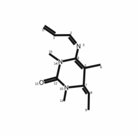 C=C/C=N\C1=C(C)C(=CC)N(C)C(=O)N1C